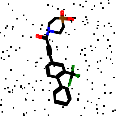 O=C(C#Cc1ccc(-c2ccccc2)c(C(F)(F)F)c1)N1CCS(=O)(=O)CC1